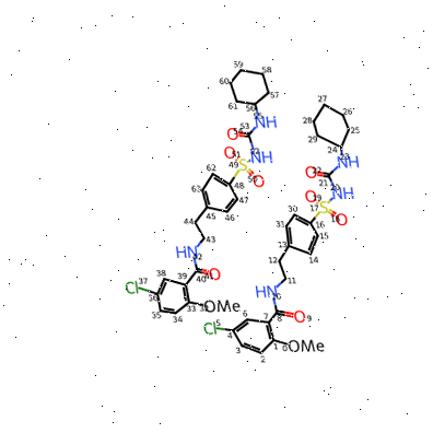 COc1ccc(Cl)cc1C(=O)NCCc1ccc(S(=O)(=O)NC(=O)NC2CCCCC2)cc1.COc1ccc(Cl)cc1C(=O)NCCc1ccc(S(=O)(=O)NC(=O)NC2CCCCC2)cc1